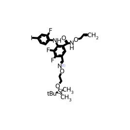 C=CCONC(=O)c1cc(/C=N/OCCO[Si](C)(C)C(C)(C)C)c(F)c(F)c1Nc1ccc(I)cc1F